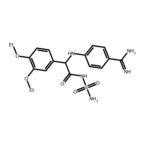 CCOc1ccc(C(Nc2ccc(C(=N)N)cc2)C(=O)NS(N)(=O)=O)cc1OCC